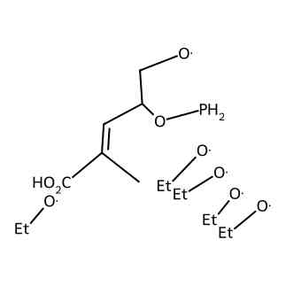 CC(=CC(C[O])OP)C(=O)O.[CH2]C[O].[CH2]C[O].[CH2]C[O].[CH2]C[O].[CH2]C[O]